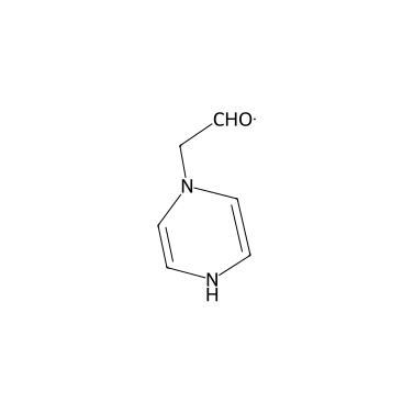 O=[C]CN1C=CNC=C1